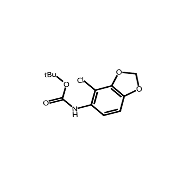 CC(C)(C)OC(=O)Nc1ccc2c(c1Cl)OCO2